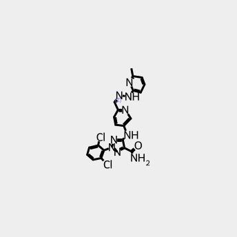 Cc1cccc(N/N=C\c2ccc(Nc3nn(-c4c(Cl)cccc4Cl)nc3C(N)=O)cn2)n1